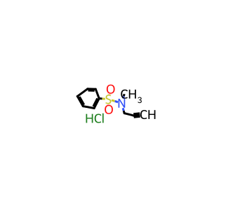 C#CCN(C)S(=O)(=O)c1ccccc1.Cl